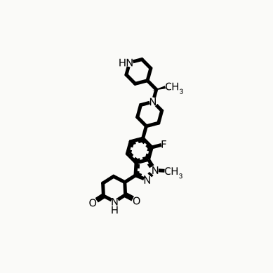 C[C@H](C1CCNCC1)N1CCC(c2ccc3c(C4CCC(=O)NC4=O)nn(C)c3c2F)CC1